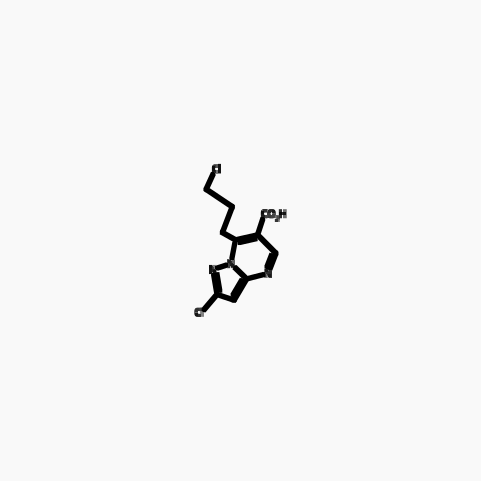 O=C(O)c1cnc2cc(Cl)nn2c1CCCCl